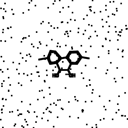 Cc1ccc2c(c1)C(O)C(O)c1cc(C)ccc1-2